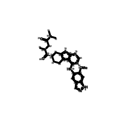 COc1cc2[nH]ncc2cc1Nc1ncnc2sc3c(c12)CC[C@H](C(=O)N(C)CC(=O)N(C)C)C3